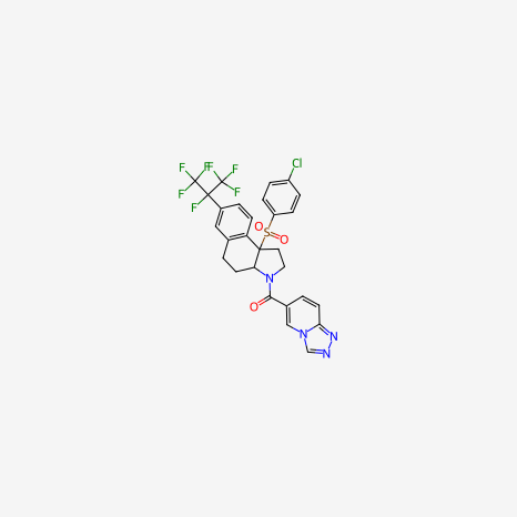 O=C(c1ccc2nncn2c1)N1CCC2(S(=O)(=O)c3ccc(Cl)cc3)c3ccc(C(F)(C(F)(F)F)C(F)(F)F)cc3CCC12